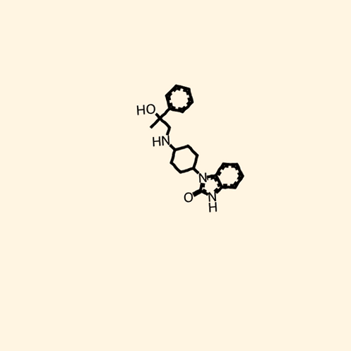 CC(O)(CNC1CCC(n2c(=O)[nH]c3ccccc32)CC1)c1ccccc1